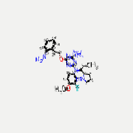 CCC(C1CCCN1)N(c1ccc(OC)c(F)c1)c1nc(N)nc(OCCc2ccccc2N)n1